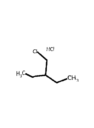 CCC(CC)CCl.Cl